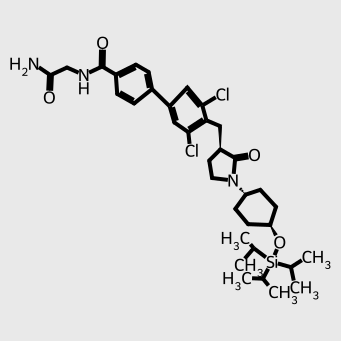 CC(C)[Si](O[C@H]1CC[C@H](N2CC[C@@H](Cc3c(Cl)cc(-c4ccc(C(=O)NCC(N)=O)cc4)cc3Cl)C2=O)CC1)(C(C)C)C(C)C